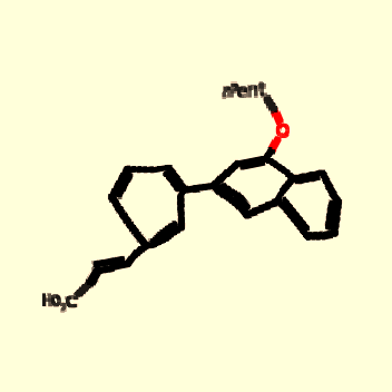 CCCCCOc1cc(-c2cccc(/C=C/C(=O)O)c2)cc2ccccc12